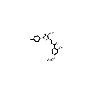 CCc1cc(OOC(C)=O)ccc1C(=O)CCc1sc(-c2ccc(C)cc2)nc1C(C)C